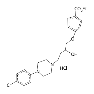 CCOC(=O)c1ccc(OCC(O)CCN2CCN(c3ccc(Cl)cc3)CC2)cc1.Cl